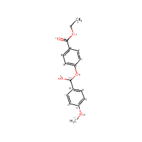 CCOC(=O)c1ccc(OC(O)c2ccc(OC)cc2)cc1